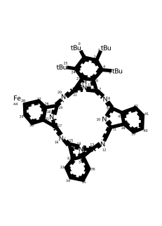 CC(C)(C)c1c(C(C)(C)C)c(C(C)(C)C)c2c3nc4nc(nc5[nH]c(nc6nc(nc([nH]3)c2c1C(C)(C)C)-c1ccccc1-6)c1ccccc51)-c1ccccc1-4.[Fe]